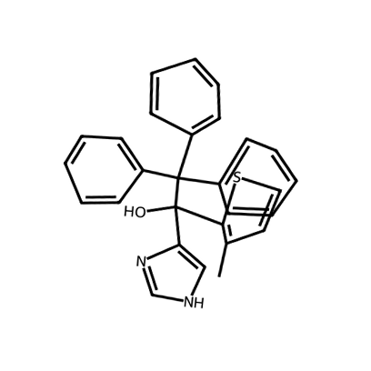 Cc1ccsc1C(O)(c1c[nH]cn1)C(c1ccccc1)(c1ccccc1)c1ccccc1